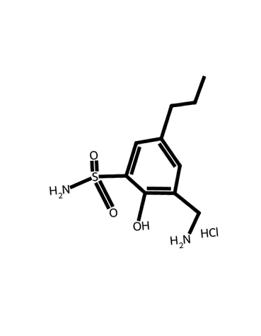 CCCc1cc(CN)c(O)c(S(N)(=O)=O)c1.Cl